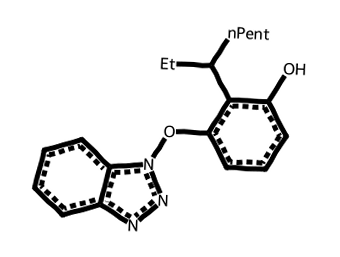 CCCCCC(CC)c1c(O)cccc1On1nnc2ccccc21